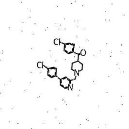 O=C(c1ccc(Cl)cc1)C1CCN(Cc2cc(-c3ccc(Cl)cc3)ccn2)CC1